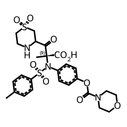 Cc1ccc(S(=O)(=O)N(c2ccc(OC(=O)N3CCOCC3)cc2)[C@@](C)(C(=O)O)C(=O)C2CS(=O)(=O)CCN2)cc1